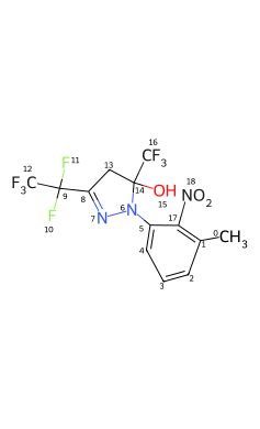 Cc1cccc(N2N=C(C(F)(F)C(F)(F)F)CC2(O)C(F)(F)F)c1[N+](=O)[O-]